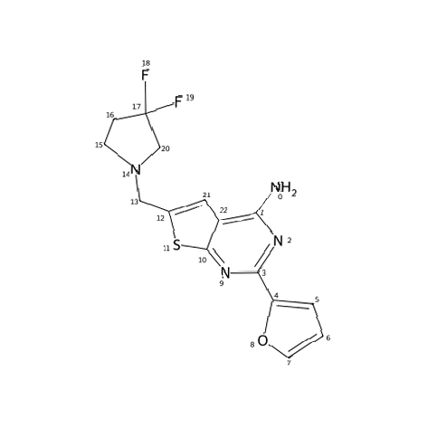 Nc1nc(-c2ccco2)nc2sc(CN3CCC(F)(F)C3)cc12